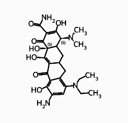 CCN(CC)c1cc(N)c(O)c2c1CC1CC3[C@H](N(C)C)C(O)=C(C(N)=O)C(=O)[C@@]3(O)C(O)=C1C2=O